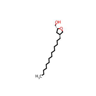 CCCCCCCCCCCCCC[C@@H]1CO[C@@H](CO)C1